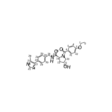 CCOc1ccc(C(=O)N2C[C@H](O)C[C@H]2C(=O)NCc2ccc(-c3scnc3C)cc2)cc1